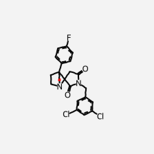 O=C1CC2(C(=O)N1Cc1cc(Cl)cc(Cl)c1)N1CCC2(c2ccc(F)cc2)CC1